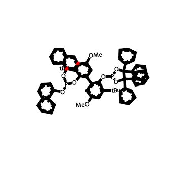 COc1cc(-c2cc(OC)cc(C(C)(C)C)c2OP2OC(c3ccccc3)(c3ccccc3)C(c3ccccc3)(c3ccccc3)O2)c(OP(Oc2cccc3ccccc23)Oc2cccc3ccccc23)c(C(C)(C)C)c1